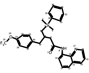 C[Si](C)(CC(CC(=O)Nc1cccc2cccnc12)Cc1ccc(OC(F)(F)F)cc1)c1ccccc1